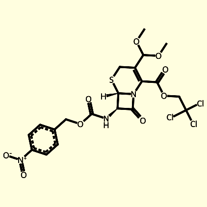 COC(OC)C1=C(C(=O)OCC(Cl)(Cl)Cl)N2C(=O)[C@@H](NC(=O)OCc3ccc([N+](=O)[O-])cc3)[C@@H]2SC1